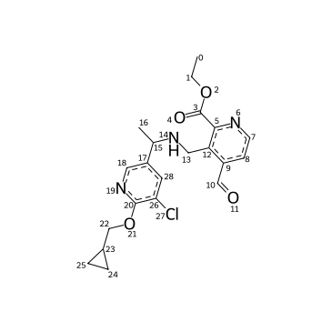 CCOC(=O)c1nccc(C=O)c1CNC(C)c1cnc(OCC2CC2)c(Cl)c1